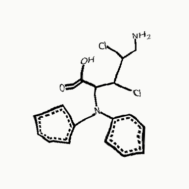 NCC(Cl)C(Cl)C(C(=O)O)N(c1ccccc1)c1ccccc1